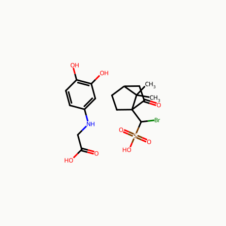 CC1(C)C2CCC1(C(Br)S(=O)(=O)O)C(=O)C2.O=C(O)CNc1ccc(O)c(O)c1